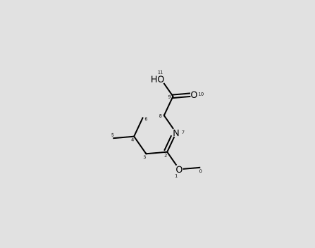 COC(CC(C)C)=NCC(=O)O